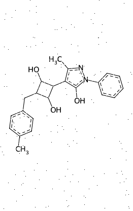 Cc1ccc(CC2C(O)C(c3c(C)nn(-c4ccccc4)c3O)C2O)cc1